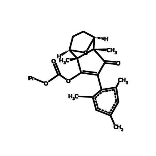 Cc1cc(C)c(C2=C(OC(=O)OC(C)C)[C@]3(C)[C@H]4CC[C@H](O4)[C@]3(C)C2=O)c(C)c1